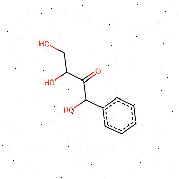 O=C(C(O)CO)C(O)c1ccccc1